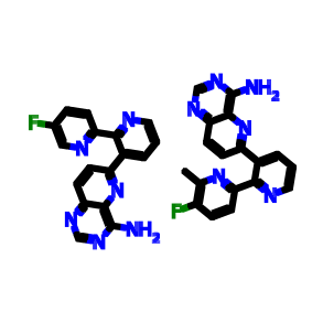 Cc1nc(-c2ncccc2-c2ccc3ncnc(N)c3n2)ccc1F.Nc1ncnc2ccc(-c3cccnc3-c3ccc(F)cn3)nc12